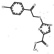 COC(=O)c1c[nH]c(SCC(=O)c2ccc(Cl)cc2)n1